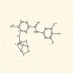 O=C(Nc1cc(F)c(F)c(F)c1)c1ccc(Cl)c(SC2CC3CCC(C2)C3O)c1